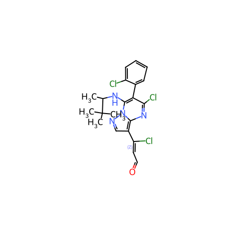 CC(Nc1c(-c2ccccc2Cl)c(Cl)nc2c(/C(Cl)=C/C=O)cnn12)C(C)(C)C